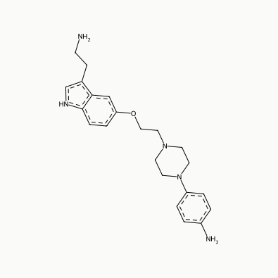 NCCc1c[nH]c2ccc(OCCN3CCN(c4ccc(N)cc4)CC3)cc12